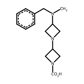 CN(Cc1ccccc1)C1CN(C2CN(C(=O)O)C2)C1